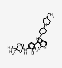 CN1CCN(C2CCC(n3nc(-c4ccc(NC(=O)OC(C)(C)C)c(Cl)c4)c4c(N)nccc43)CC2)CC1